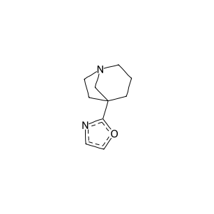 c1coc(C23CCCN(CC2)C3)n1